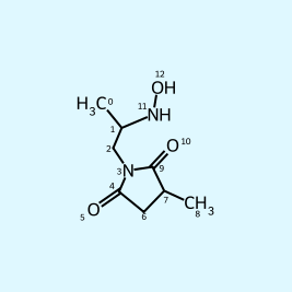 CC(CN1C(=O)CC(C)C1=O)NO